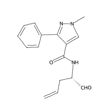 C=CC[C@@H](C=O)NC(=O)c1cn(C)nc1-c1ccccc1